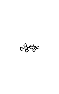 CN/C(=N\C(=N)c1cccc2c1oc1ccccc12)C12CCC(c3ccccc3)(c3ccccc31)c1ccccc12